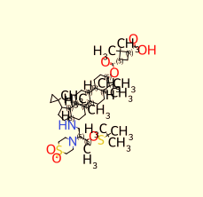 C[C@H](OSC(C)(C)C)[C@H](CN[C@]12CCC(C3(C)CC3)[C@@H]1[C@H]1CC[C@@H]3[C@@]4(C)CC[C@H](OC(=O)[C@H]5C[C@@H](C(=O)O)C5(C)C)C(C)(C)[C@@H]4CC[C@@]3(C)[C@]1(C)CC2)N1CCS(=O)(=O)CC1